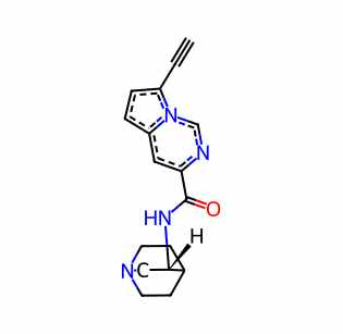 C#Cc1ccc2cc(C(=O)N[C@H]3CN4CCC3CC4)ncn12